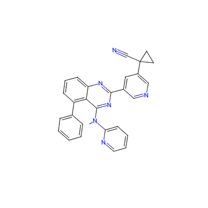 CN(c1ccccn1)c1nc(-c2cncc(C3(C#N)CC3)c2)nc2cccc(-c3ccccc3)c12